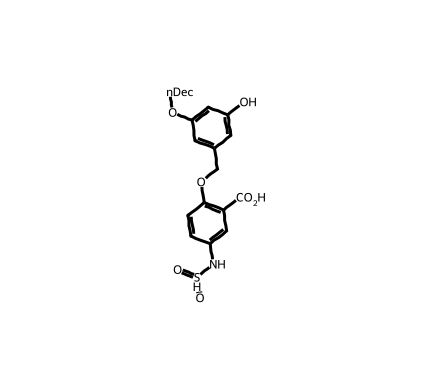 CCCCCCCCCCOc1cc(O)cc(COc2ccc(N[SH](=O)=O)cc2C(=O)O)c1